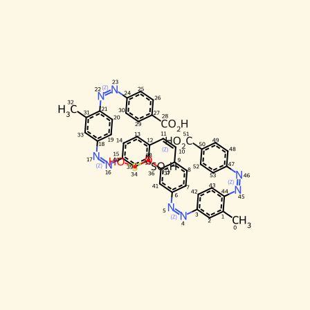 Cc1cc(/N=N\c2ccc(/C=C\c3ccc(/N=N\c4ccc(/N=N\c5ccc(C(=O)O)cc5)c(C)c4)cc3S(=O)(=O)O)c(OSO)c2)ccc1/N=N\c1ccc(C(=O)O)cc1